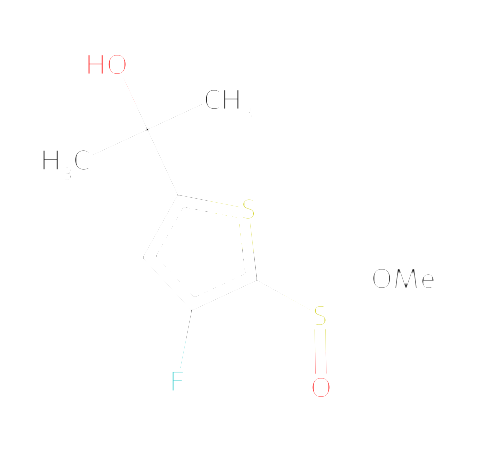 CO[S@](=O)c1sc(C(C)(C)O)cc1F